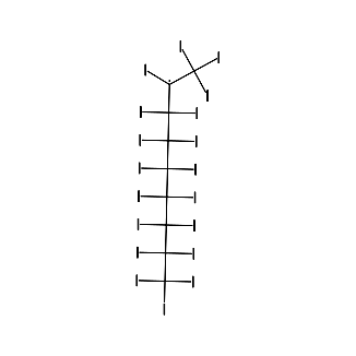 I[C](C(I)(I)I)C(I)(I)C(I)(I)C(I)(I)C(I)(I)C(I)(I)C(I)(I)C(I)(I)I